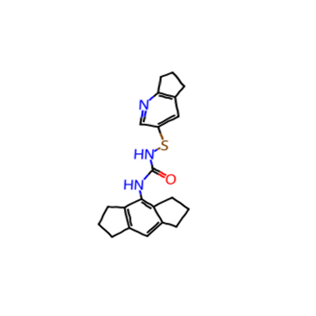 O=C(NSc1cnc2c(c1)CCC2)Nc1c2c(cc3c1CCC3)CCC2